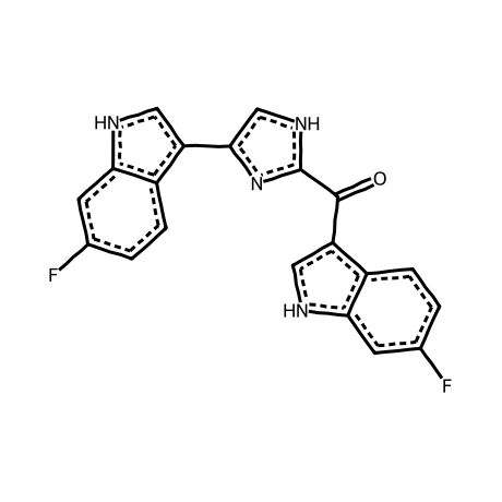 O=C(c1nc(-c2c[nH]c3cc(F)ccc23)c[nH]1)c1c[nH]c2cc(F)ccc12